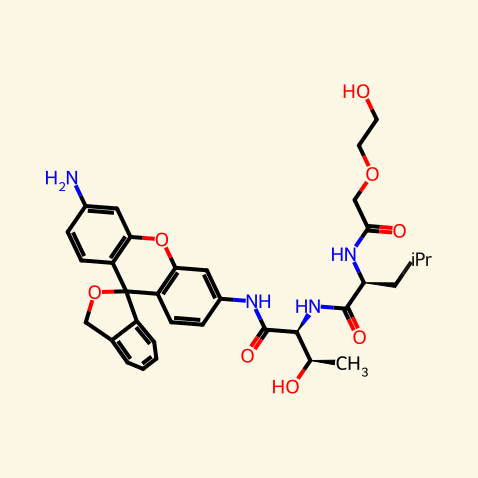 CC(C)C[C@H](NC(=O)COCCO)C(=O)N[C@H](C(=O)Nc1ccc2c(c1)Oc1cc(N)ccc1C21OCc2ccccc21)[C@@H](C)O